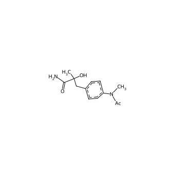 CC(=O)N(C)c1ccc(CC(C)(O)C(N)=O)cc1